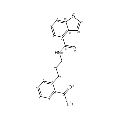 NC(=O)c1ccccc1C[CH]CNC(=O)c1cccc2occc12